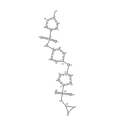 Cc1ccc(S(=O)(=O)Oc2ccc(Oc3ccc(S(=O)(=O)CC4CS4)cc3)cc2)cc1